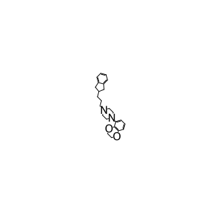 c1ccc2c(c1)CC(CCCN1CCN(c3cccc4c3OCCO4)CC1)C2